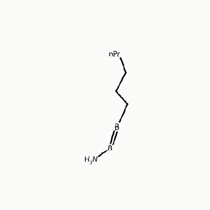 CCCCCCB=BN